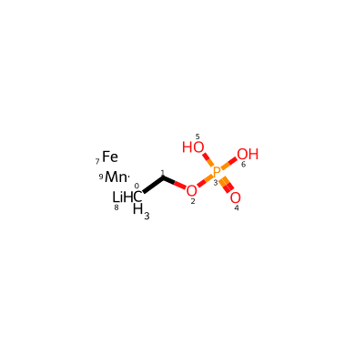 CCOP(=O)(O)O.[Fe].[LiH].[Mn]